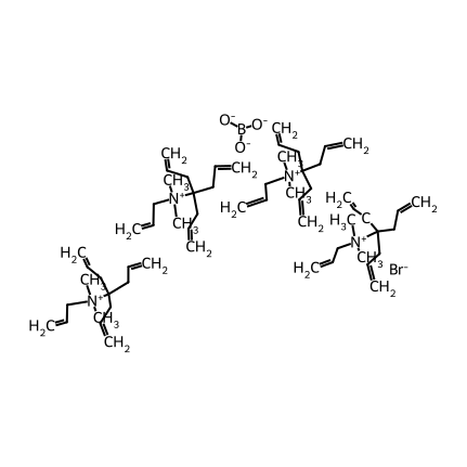 C=CCC(CC=C)(CC=C)[N+](C)(C)CC=C.C=CCC(CC=C)(CC=C)[N+](C)(C)CC=C.C=CCC(CC=C)(CC=C)[N+](C)(C)CC=C.C=CCC(CC=C)(CC=C)[N+](C)(C)CC=C.[Br-].[O-]B([O-])[O-]